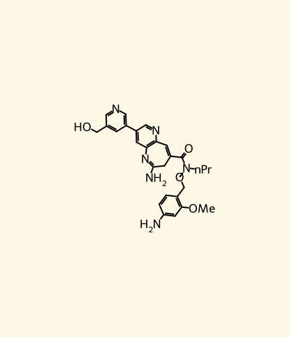 CCCN(OCc1ccc(N)cc1OC)C(=O)C1=Cc2ncc(-c3cncc(CO)c3)cc2N=C(N)C1